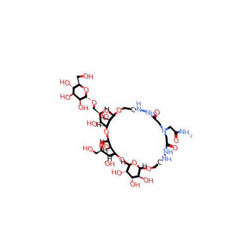 NC(=O)CN1CC(=O)NNCCO[C@@H]2O[C@@H](O[C@@H]3[C@H](O)[C@@H](O[C@@H]4[C@H](O)[C@@H](OCCNNC(=O)C1)O[C@H](CO[C@H]1O[C@H](CO)[C@@H](O)[C@H](O)[C@@H]1O)[C@H]4O)O[C@H](CO)[C@H]3O)[C@@H](O)[C@@H](O)[C@@H]2O